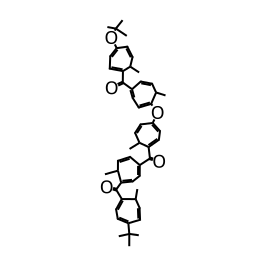 CC1C=CC(C(=O)C2=CC=C(OC(C)(C)C)C=CC2C)=CC=C1OC1=CC=C(C(=O)C2=CC=C(C(=O)C3=CC=C(C(C)(C)C)C=CC3C)C(C)C=C2)C(C)C=C1